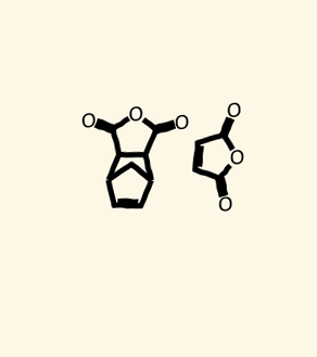 O=C1C=CC(=O)O1.O=C1OC(=O)C2C3C=CC(C3)C12